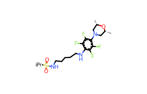 CC(C)S(=O)(=O)NCCCCCNc1c(F)c(F)c(N2C[C@@H](C)O[C@@H](C)C2)c(F)c1F